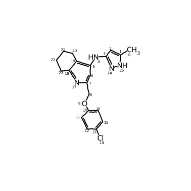 Cc1cc(Nc2cc(COc3ccc(Cl)cc3)nc3c2CCCC3)n[nH]1